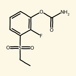 CCS(=O)(=O)c1cccc(OC(N)=O)c1F